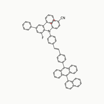 N#Cc1ccc(N(c2ccc(/C=C/c3ccc(-c4c5ccccc5c(-c5cccc6ccccc56)c5ccccc45)cc3)cc2)c2c(F)cc(-c3ccccc3)cc2-c2ccccc2)cc1